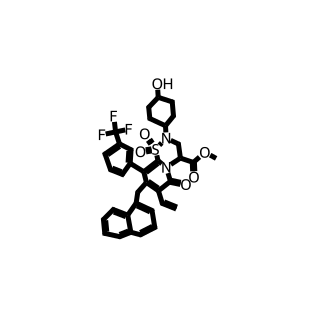 C=Cc1c(Cc2cccc3ccccc23)c(-c2cccc(C(F)(F)F)c2)c2n(c1=O)C(C(=O)OC)CN(C1CCC(O)CC1)S2(=O)=O